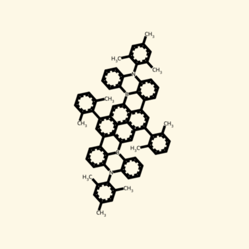 Cc1cc(C)c(N2c3ccccc3B3c4c(cccc42)-c2cc(-c4c(C)cccc4C)c4cc5c6c(cc(-c7c(C)cccc7C)c7cc3c2c4c76)-c2cccc3c2B5c2ccccc2N3c2c(C)cc(C)cc2C)c(C)c1